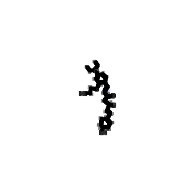 CCN(CC)c1ccc(/C=C/C(=O)CC(=O)/C=C/c2ccc(O)cc2)c(OCCO)c1